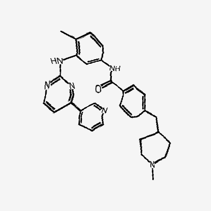 Cc1ccc(NC(=O)c2ccc(CC3CCN(C)CC3)cc2)cc1Nc1nccc(-c2cccnc2)n1